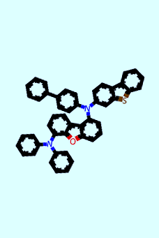 c1ccc(-c2ccc(N(c3ccc4c(c3)sc3ccccc34)c3cccc4oc5c(N(c6ccccc6)c6ccccc6)cccc5c34)cc2)cc1